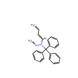 C=C/C=C(\CC)N(N=C)C(c1ccccc1)(c1ccccc1)c1ccccc1